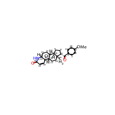 COc1ccc(C(=O)[C@H]2CC[C@H]3[C@@H]4CC[C@H]5NC(=O)C=C[C@]5(C)[C@H]4CC[C@]23C)cc1